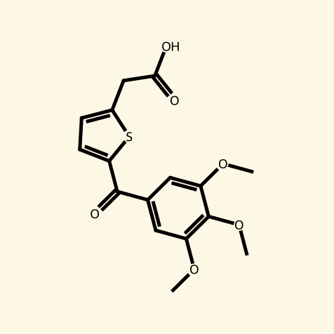 COc1cc(C(=O)c2ccc(CC(=O)O)s2)cc(OC)c1OC